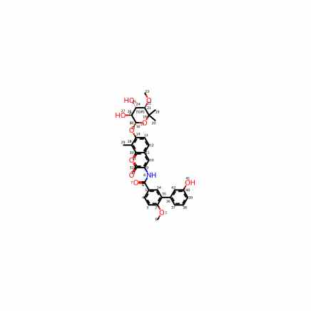 COc1ccc(C(=O)Nc2cc3ccc(O[C@@H]4OC(C)(C)[C@H](OC)[C@@H](O)[C@@H]4O)c(C)c3oc2=O)cc1-c1cccc(O)c1